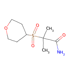 CC(C)(C(N)=O)S(=O)(=O)C1CCOCC1